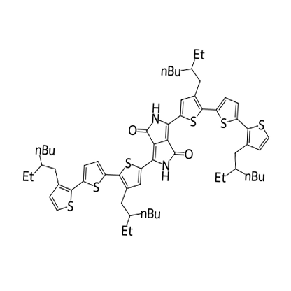 CCCCC(CC)Cc1ccsc1-c1ccc(-c2sc(C3=C4C(=O)NC(c5cc(CC(CC)CCCC)c(-c6ccc(-c7sccc7CC(CC)CCCC)s6)s5)=C4C(=O)N3)cc2CC(CC)CCCC)s1